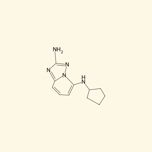 Nc1nc2cccc(NC3CCCC3)n2n1